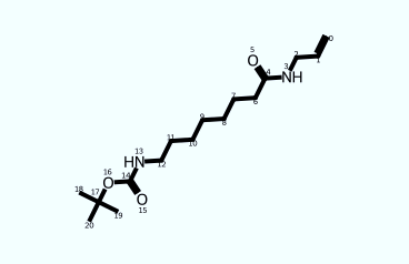 C=CCNC(=O)CCCCCCCNC(=O)OC(C)(C)C